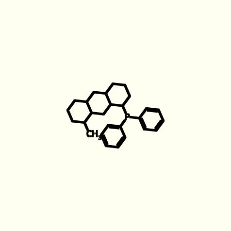 CC1CCCC2CC3CCCC(P(c4ccccc4)c4ccccc4)C3CC12